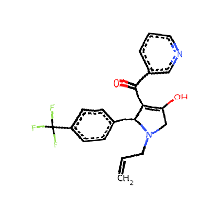 C=CCN1CC(O)=C(C(=O)c2cccnc2)C1c1ccc(C(F)(F)F)cc1